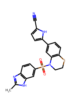 Cc1nc2ccc(S(=O)(=O)N3CCSc4ccc(-c5ccc(C#N)[nH]5)cc43)cc2[nH]1